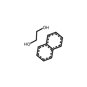 OCCO.c1ccc2ccccc2c1